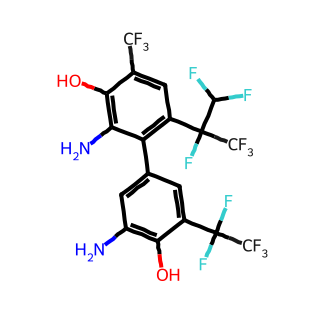 Nc1cc(-c2c(C(F)(C(F)F)C(F)(F)F)cc(C(F)(F)F)c(O)c2N)cc(C(F)(F)C(F)(F)F)c1O